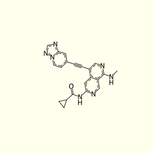 CNc1ncc(C#Cc2ccn3ncnc3c2)c2cc(NC(=O)C3CC3)ncc12